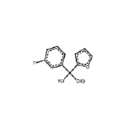 O=CC(O)(c1cccc(F)c1)c1ccco1